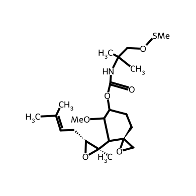 COC1C(OC(=O)NC(C)(C)COSC)CC[C@]2(CO2)C1[C@@]1(C)O[C@@H]1CC=C(C)C